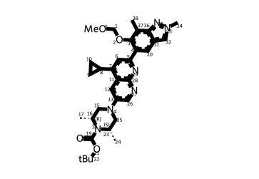 COCOc1c(-c2cc(C3CC3)c3cc(N4C[C@@H](C)N(C(=O)OC(C)(C)C)[C@@H](C)C4)cnc3n2)cc2cn(C)nc2c1C